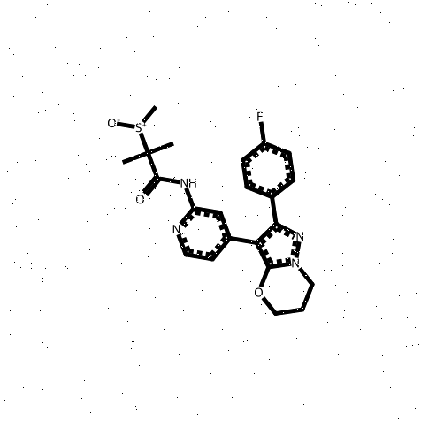 C[S+]([O-])C(C)(C)C(=O)Nc1cc(-c2c(-c3ccc(F)cc3)nn3c2OCCC3)ccn1